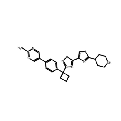 Nc1ncc(-c2ccc(C3(c4noc(-c5csc(C6CCNCC6)n5)n4)CCC3)cc2)cn1